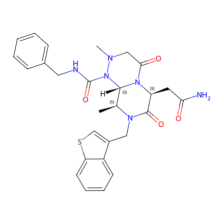 C[C@H]1[C@H]2N(C(=O)CN(C)N2C(=O)NCc2ccccc2)[C@@H](CC(N)=O)C(=O)N1Cc1csc2ccccc12